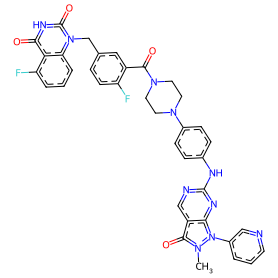 Cn1c(=O)c2cnc(Nc3ccc(N4CCN(C(=O)c5cc(Cn6c(=O)[nH]c(=O)c7c(F)cccc76)ccc5F)CC4)cc3)nc2n1-c1cccnc1